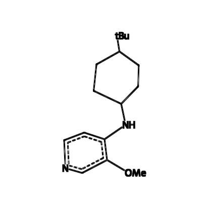 COc1cnccc1NC1CCC(C(C)(C)C)CC1